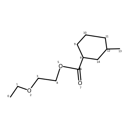 CCOCCOC(=O)C1CCCC(C)C1